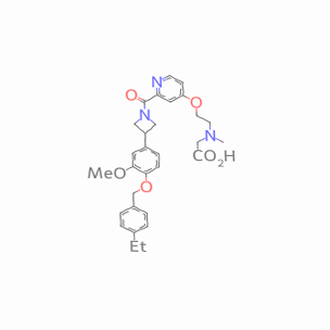 CCc1ccc(COc2ccc(C3CN(C(=O)c4cc(OCCN(C)CC(=O)O)ccn4)C3)cc2OC)cc1